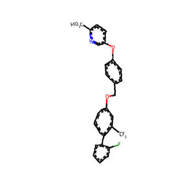 O=C(O)c1ccc(Oc2ccc(COc3ccc(-c4ccccc4F)c(C(F)(F)F)c3)cc2)cn1